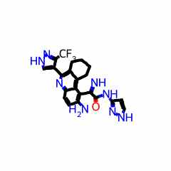 N=C(C(=O)Nc1cc[nH]n1)c1c(N)ccc2nc(-c3c[nH]nc3C(F)(F)F)c3c(c12)CCCC3